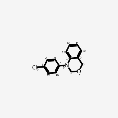 Clc1ccc(N2COCc3ccccc32)cc1